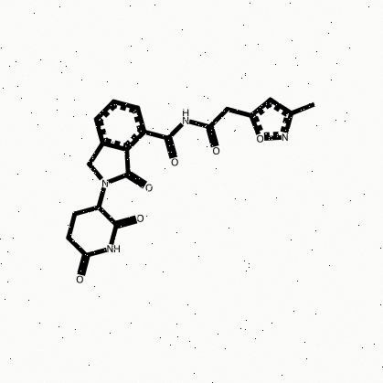 Cc1cc(CC(=O)NC(=O)c2cccc3c2C(=O)N(C2CCC(=O)NC2=O)C3)on1